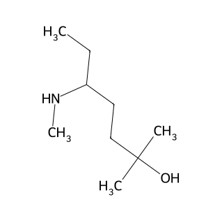 CCC(CCC(C)(C)O)NC